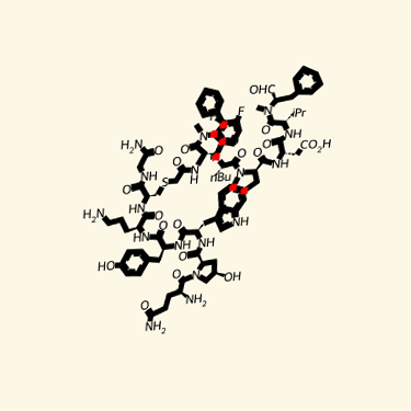 CCCC[C@@H](C(=O)N1CCC[C@@H]1C(=O)N[C@@H](CC(=O)O)C(=O)N[C@H](C(=O)N(C)[C@@H](C=O)Cc1ccccc1)C(C)C)N(C)C(=O)[C@H](Cc1ccccc1)N(C)C(=O)[C@H](Cc1ccc(F)c(F)c1)NC(=O)CSC[C@H](NC(=O)[C@H](CCCN)NC(=O)[C@H](Cc1ccc(O)cc1)NC(=O)[C@H](Cc1c[nH]c2ccccc12)NC(=O)[C@H]1C[C@@H](O)CN1C(=O)[C@@H](N)CCC(N)=O)C(=O)NCC(N)=O